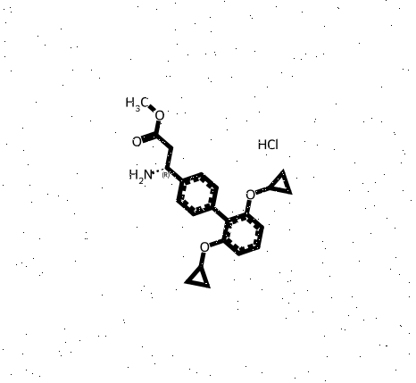 COC(=O)C[C@@H](N)c1ccc(-c2c(OC3CC3)cccc2OC2CC2)cc1.Cl